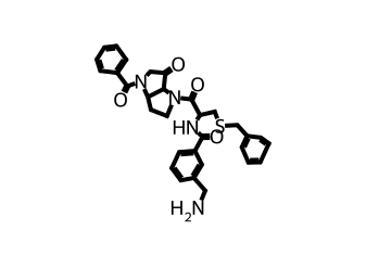 NCc1cccc(C(=O)NC(CSCc2ccccc2)C(=O)N2CCC3C2C(=O)CN3C(=O)c2ccccc2)c1